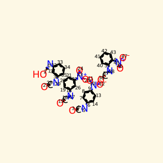 N#CO.O=C=Nc1ccc([N+](=O)[O-])cc1.O=C=Nc1cccc([N+](=O)[O-])c1.O=C=Nc1ccccc1.O=C=Nc1ccccc1[N+](=O)[O-]